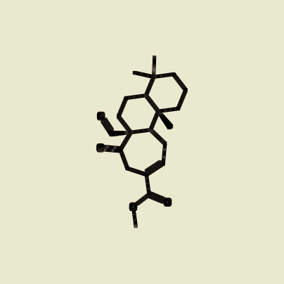 COC(=O)C1=CCC2[C@@]3(C)CCCC(C)(C)C3CC[C@@]2(C=O)C(=O)C1